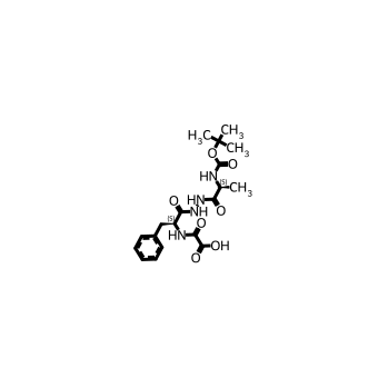 C[C@H](NC(=O)OC(C)(C)C)C(=O)NNC(=O)[C@H](Cc1ccccc1)NC(=O)C(=O)O